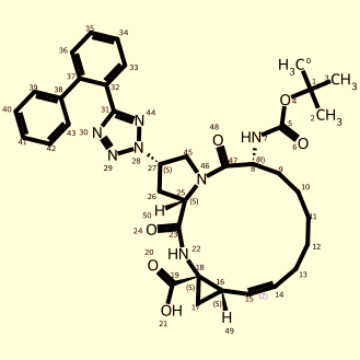 CC(C)(C)OC(=O)N[C@@H]1CCCCC/C=C\[C@@H]2C[C@]2(C(=O)O)NC(=O)[C@@H]2C[C@H](n3nnc(-c4ccccc4-c4ccccc4)n3)CN2C1=O